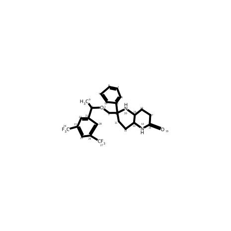 CC(OCC1(c2ccccc2)CCC2NC(=O)CCC2N1)c1cc(C(F)(F)F)cc(C(F)(F)F)c1